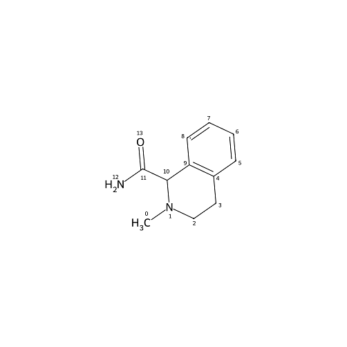 CN1CCc2ccc[c]c2C1C(N)=O